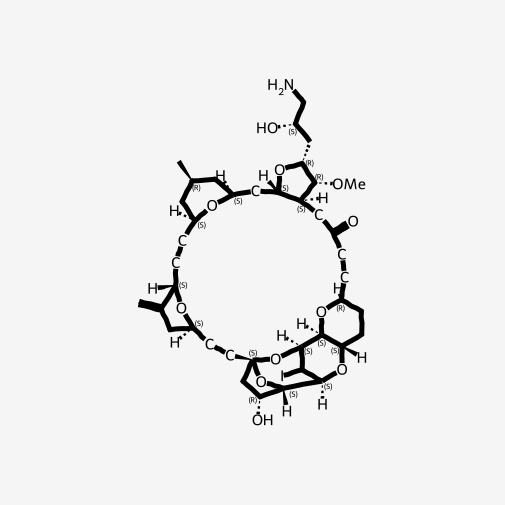 C=C1C[C@@H]2CC[C@]34C[C@@H](O)[C@H](O3)[C@@H]3O[C@H]5CC[C@H](CCC(=O)C[C@@H]6[C@@H](OC)[C@@H](C[C@H](O)CN)O[C@H]6C[C@@H]6C[C@H](C)C[C@H](CC[C@@H]1O2)O6)O[C@@H]5[C@H](O4)C3I